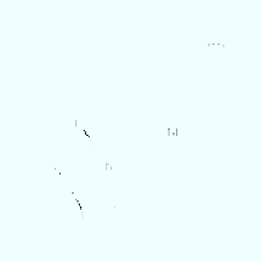 COc1ccc2c3c([nH]c2c1)[C@H](C=C(C)C)N1C(=O)[C@@H]2CCCN2C(=O)[C@@H]1C3